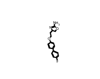 NC1=NC(CCOc2ccc(-c3ccc(F)cc3)cc2)CO1